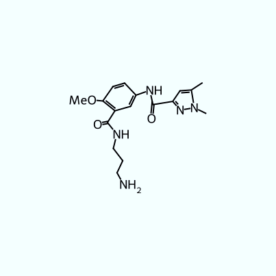 COc1ccc(NC(=O)c2cc(C)n(C)n2)cc1C(=O)NCCCN